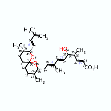 C=C(C)/C=C/[C@@H]1O[C@@]2(CC[C@@H]1C)CC[C@H](C)[C@@H](C/C=C(C)/C=C/[C@H](O)[C@@H](C)/C=C/C(=O)O)O2